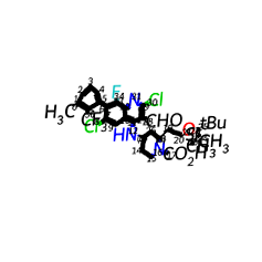 Cc1cccc(-c2c(Cl)cc3c(N[C@H]4CCN(C(=O)O)[C@H](CCO[Si](C)(C)C(C)(C)C)C4)c(C=O)c(Cl)nc3c2F)c1C(F)(F)F